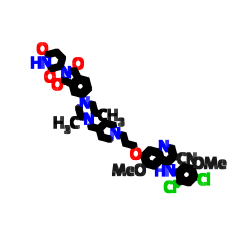 COc1cc(Nc2c(C#N)cnc3cc(OCCCN4CCC(CN5C(C)CN(c6ccc7c(c6)C(=O)N(C6CCC(=O)NC6=O)C7=O)CC5C)CC4)c(OC)cc23)c(Cl)cc1Cl